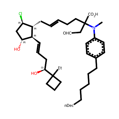 CCCCCCCCCCCCCCCc1ccc(N(C)C(CC=O)(CCC=CC[C@@H]2[C@@H](C=CC[C@H](O)C3(CC)CCC3)[C@H](O)C[C@H]2Cl)C(=O)O)cc1